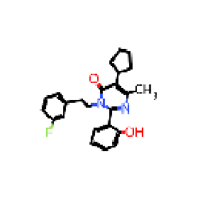 Cc1nc(-c2ccccc2O)n(CCc2cccc(F)c2)c(=O)c1C1CCCC1